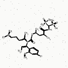 C=Nc1cc(Cl)ccc1/C(=C\C)N(C(=O)OC(C)CC(C)C(=O)NC(P(=O)(O)O)P(=O)(O)O)C(C)CCCN(CC)CC